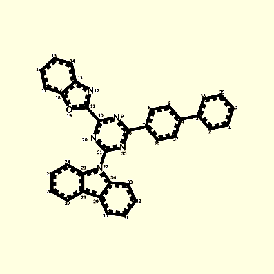 c1ccc(-c2ccc(-c3nc(-c4nc5ccccc5o4)nc(-n4c5ccccc5c5ccccc54)n3)cc2)cc1